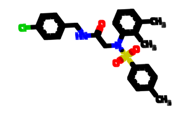 Cc1ccc(S(=O)(=O)N(CC(=O)NCc2ccc(Cl)cc2)c2cccc(C)c2C)cc1